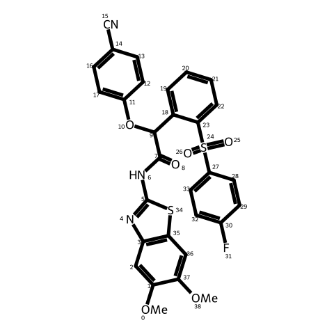 COc1cc2nc(NC(=O)C(Oc3ccc(C#N)cc3)c3ccccc3S(=O)(=O)c3ccc(F)cc3)sc2cc1OC